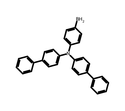 Bc1ccc(N(c2ccc(-c3ccccc3)cc2)c2ccc(-c3ccccc3)cc2)cc1